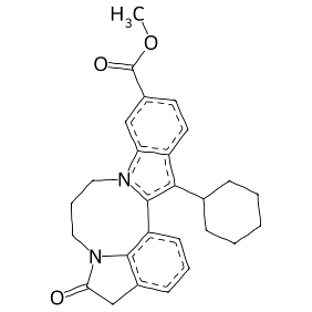 COC(=O)c1ccc2c(C3CCCCC3)c3n(c2c1)CCCN1C(=O)Cc2cccc-3c21